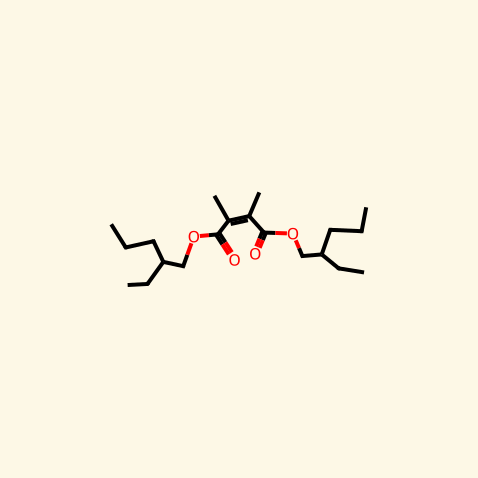 CCCC(CC)COC(=O)/C(C)=C(/C)C(=O)OCC(CC)CCC